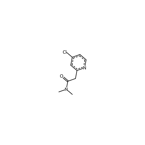 CN(C)C(=O)Cc1cc(Cl)ccn1